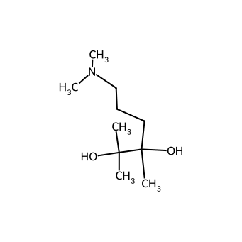 CN(C)CCCC(C)(O)C(C)(C)O